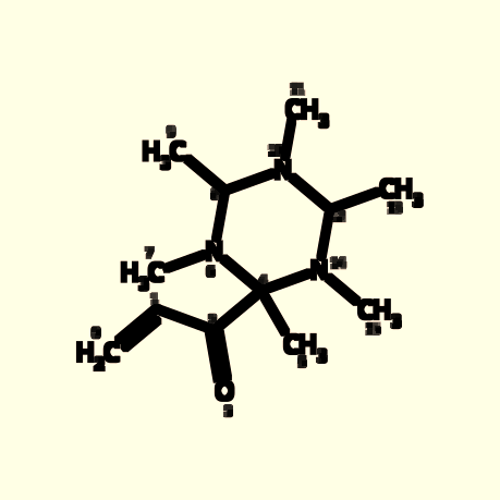 C=CC(=O)C1(C)N(C)C(C)N(C)C(C)N1C